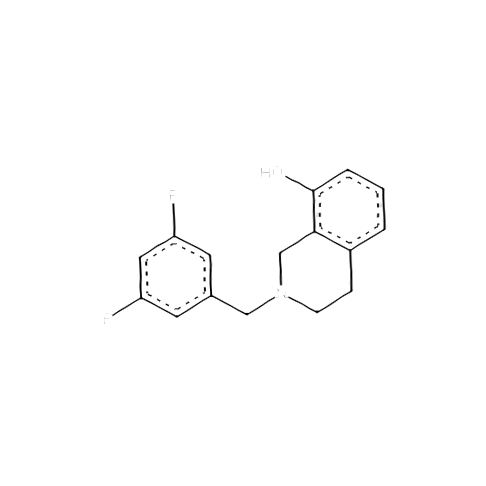 Oc1cccc2c1CN(Cc1cc(F)cc(F)c1)CC2